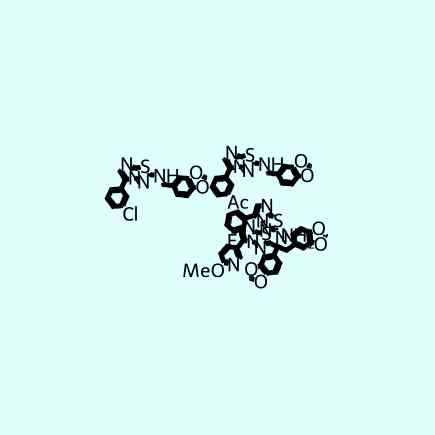 CC(=O)c1cccc(-c2cnc3sc(NCc4ccc5c(c4)OCO5)nn23)c1.COc1ccc(-c2cnc3sc(C(Cc4ccc5c(c4)OCO5)(c4ccc5c(c4)OCO5)N(N)c4nn5c(-c6cccc(F)c6)cnc5s4)nn23)cn1.Clc1cccc(-c2cnc3sc(NCc4ccc5c(c4)OCO5)nn23)c1